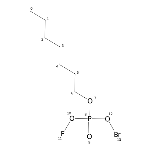 CCCCCCCOP(=O)(OF)OBr